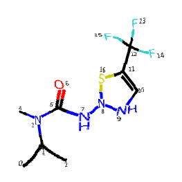 CC(C)N(C)C(=O)NN1NC=C(C(F)(F)F)S1